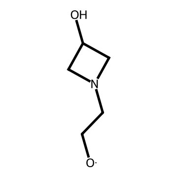 [O]CCN1CC(O)C1